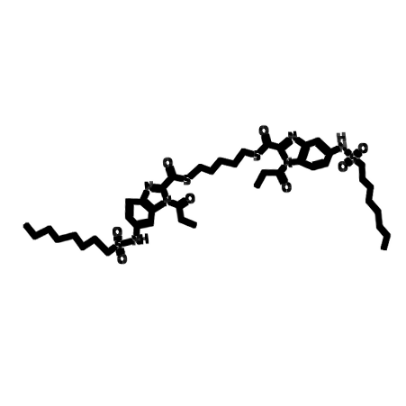 CCCCCCCCS(=O)(=O)Nc1ccc2c(c1)nc(C(=O)SCCCCCSC(=O)c1nc3ccc(NS(=O)(=O)CCCCCCCC)cc3n1C(=O)CC)n2C(=O)CC